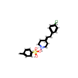 Cc1ccc(S(=O)(=O)ON2CCC(=CCc3ccc(Cl)cc3)CC2)cc1